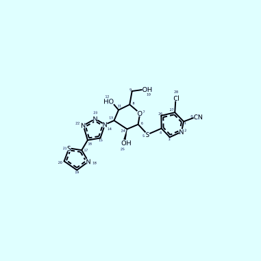 N#Cc1ncc(SC2OC(CO)C(O)C(n3cc(-c4nccs4)nn3)[C@@H]2O)cc1Cl